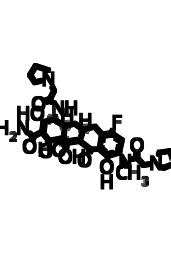 CN(C(=O)CN1CCCC1)c1cc(F)c2c(c1O)C(=O)C1=C(O)[C@]3(O)C(=O)C(C(N)=O)=C(O)[C@@H](NC(=O)CN4CCCC4)[C@@H]3C[C@@H]1C2